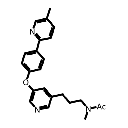 CC(=O)N(C)CCCc1cncc(Oc2ccc(-c3ccc(C)cn3)cc2)c1